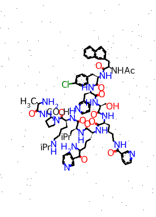 CC(=O)N[C@H](Cc1ccc2ccccc2c1)C(=O)N[C@H](Cc1ccc(Cl)cc1)C(=O)N[C@H](Cc1cccnc1)C(=O)N[C@@H](CO)C(=O)N[C@@H](CCCCNC(=O)c1cccnc1)C(=O)N[C@H](CCCC(N)C(=O)c1cccnc1)C(=O)N[C@@H](CC(C)C)C(=O)N[C@@H](CCCCNC(C)C)C(=O)N1CCC[C@H]1C(=O)O.C[C@@H](N)C(N)=O